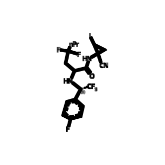 CCCC(F)(F)CC(N[C@@H](c1ccc(F)cc1)C(F)(F)F)C(=O)NC1(C#N)CC1I